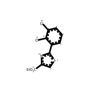 CCOC(=O)c1csc(-c2cccc(Cl)c2Cl)n1